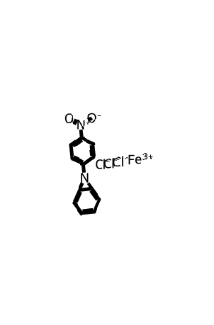 O=[N+]([O-])c1ccc(N2c3ccccc32)cc1.[Cl-].[Cl-].[Cl-].[Fe+3]